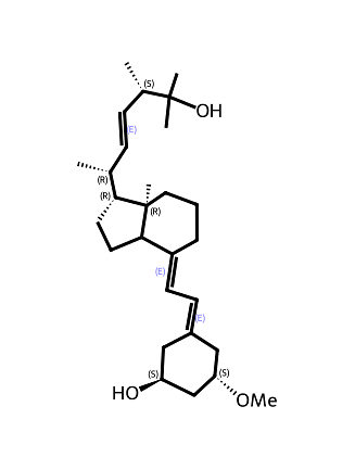 CO[C@H]1C/C(=C/C=C2\CCC[C@@]3(C)C2CC[C@@H]3[C@H](C)/C=C/[C@H](C)C(C)(C)O)C[C@H](O)C1